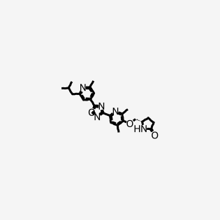 Cc1cc(-c2nc(-c3cc(C)c(OC[C@@H]4CCC(=O)N4)c(C)n3)no2)cc(CC(C)C)n1